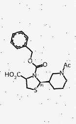 CC(=O)N1CCCC([C@H]2SCC(C(=O)O)N2C(=O)OCc2ccccc2)C1